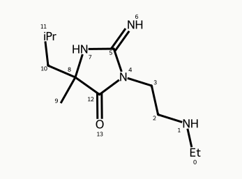 CCNCCN1C(=N)NC(C)(CC(C)C)C1=O